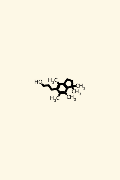 Cc1c(C)c2c(c(C)c1CCCO)CCC2(C)C